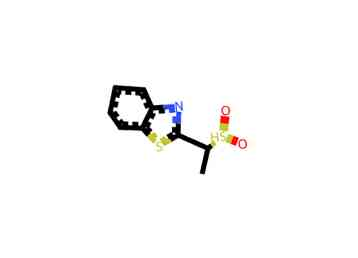 CC(c1nc2ccccc2s1)[SH](=O)=O